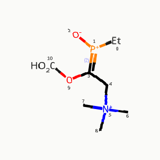 CC/[P+]([O-])=C(\C[N+](C)(C)C)OC(=O)O